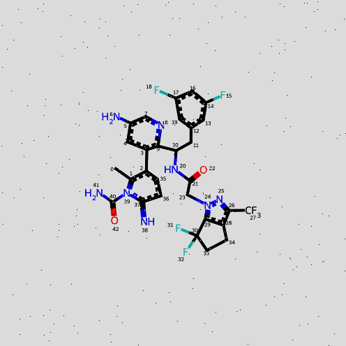 Cc1c(-c2cc(N)cnc2C(Cc2cc(F)cc(F)c2)NC(=O)Cn2nc(C(F)(F)F)c3c2C(F)(F)CC3)ccc(=N)n1C(N)=O